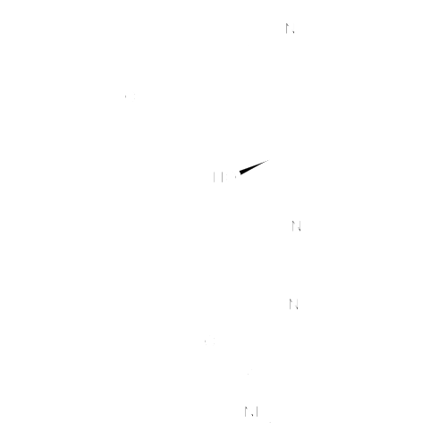 COc1ccc2nccc([C@H](O)CN3CCN(CC(N)=O)CC3)c2c1